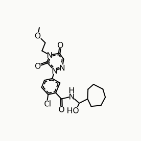 COCCn1c(=O)cnn(-c2ccc(Cl)c(C(=O)NC(O)C3CCCCCC3)c2)c1=O